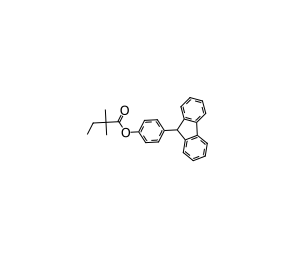 CCC(C)(C)C(=O)Oc1ccc(C2c3ccccc3-c3ccccc32)cc1